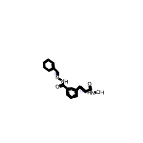 O=C(/C=C/c1cccc(C(=O)N/N=C/C2=CCCCC2)c1)NO